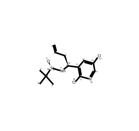 C=CC[C@H](N[S@@+]([O-])C(C)(C)C)c1cc(Cl)cnc1Cl